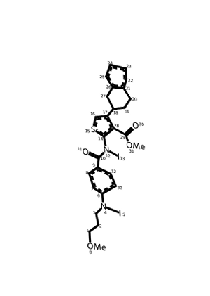 COCCCN(I)c1ccc(C(=O)N(I)c2scc(C3CCc4ccccc4C3)c2C(=O)OC)cc1